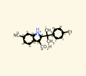 CCc1ccc(C(C)(C)c2[nH]c3cc(C#N)ccc3c2C(=O)O)cc1